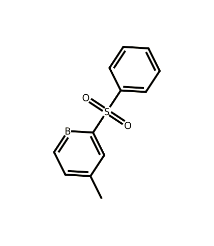 Cc1ccbc(S(=O)(=O)c2ccccc2)c1